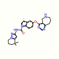 CC1(C)CCCn2nc(NC(=O)n3ccc4cc(Oc5ncnc6c5CNCCC6)ccc43)cc21